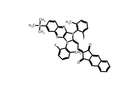 Cc1cccc(F)c1N1/C(=C/C=C2C(=O)c3cc4ccccc4cc3C2=O)N(c2c(C)cccc2F)c2nc3cc([Si](C)(C)C)ccc3nc21